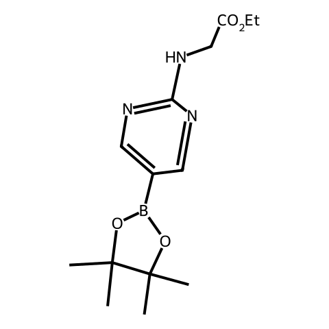 CCOC(=O)CNc1ncc(B2OC(C)(C)C(C)(C)O2)cn1